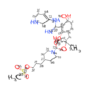 CC(C)(Cc1ccc(O)c(C(=N)NC2=CC=CNC2)c1O)OC(=O)N1CCC(CCCOS(C)(=O)=O)CC1